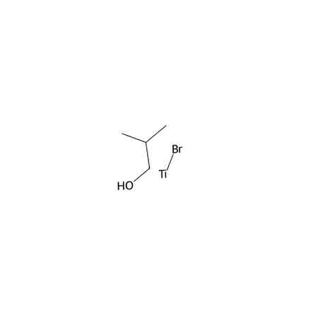 CC(C)CO.[Ti][Br]